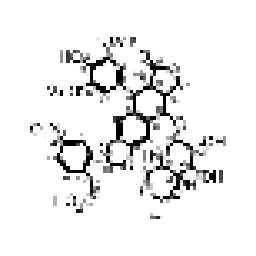 COc1cc([C@@H]2c3cc4c(cc3C(O[C@@H]3O[C@@H]5CO[C@@H](C)O[C@H]5[C@H](O)[C@H]3O)C3COC(=O)[C@@H]32)OCO4)cc(OC)c1O.O=C(O)Oc1ccc([N+](=O)[O-])cc1